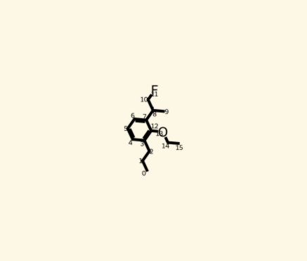 CCCc1cccc([C](C)CF)c1OCC